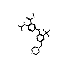 COC(=O)c1cc(Oc2ncc(CN3CCOCC3)cc2C(F)(F)F)ccc1NC(C)C